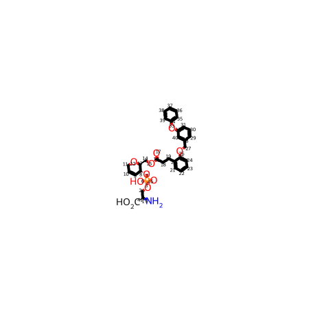 N[C@@H](COP(=O)(O)O[C@@H]1C=CCO[C@H]1COC(=O)CCc1ccccc1OCc1cccc(Oc2ccccc2)c1)C(=O)O